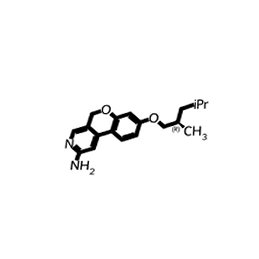 CC(C)C[C@@H](C)COc1ccc2c(c1)OCc1cnc(N)cc1-2